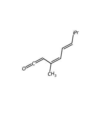 CC(C=C=O)=CC=CC(C)C